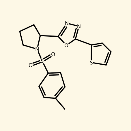 Cc1ccc(S(=O)(=O)N2CCCC2c2nnc(-c3cccs3)o2)cc1